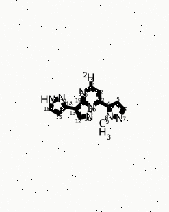 [2H]c1cc(-c2ccnn2C)n2ncc(-c3cc[nH]n3)c2n1